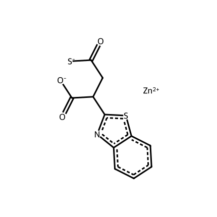 O=C([S-])CC(C(=O)[O-])c1nc2ccccc2s1.[Zn+2]